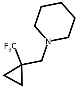 FC(F)(F)C1(CN2CCCCC2)CC1